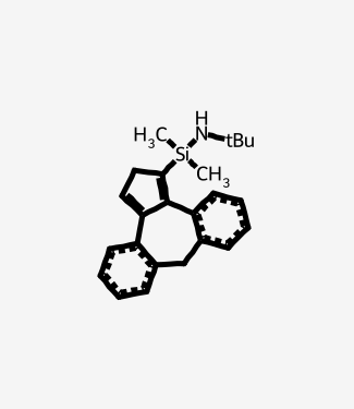 CC(C)(C)N[Si](C)(C)C1=C2C(=CC1)c1ccccc1Cc1ccccc12